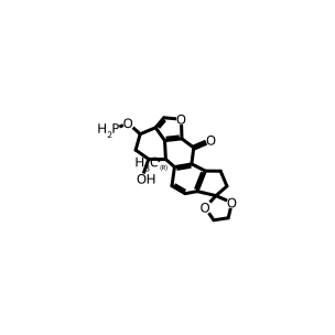 C[C@@]12c3ccc4c(c3C(=O)c3occ(c31)C(OP)CC2O)CCC41OCCO1